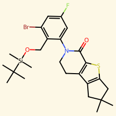 CC1(C)Cc2sc3c(c2C1)CCN(c1cc(F)cc(Br)c1CO[Si](C)(C)C(C)(C)C)C3=O